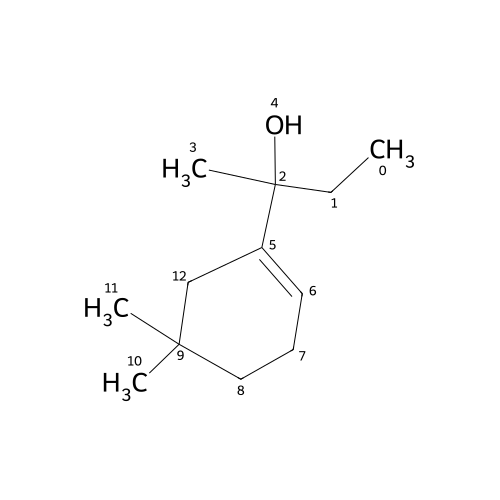 CCC(C)(O)C1=CCCC(C)(C)C1